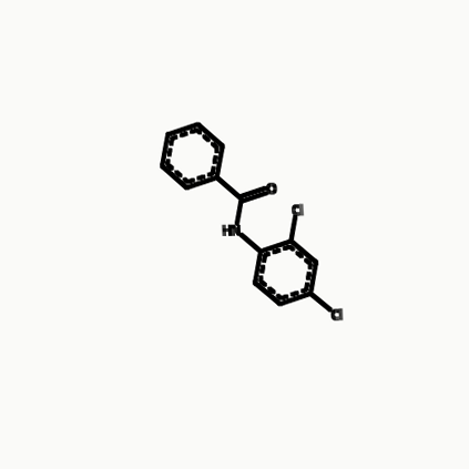 O=C(Nc1ccc(Cl)cc1Cl)c1ccccc1